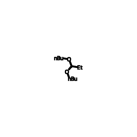 CCCCO[C](CC)OCCCC